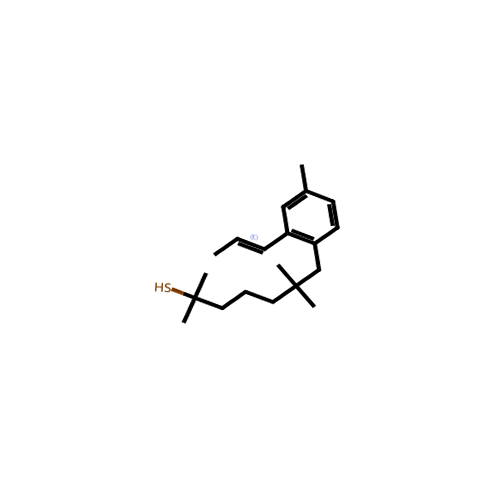 C/C=C/c1cc(C)ccc1CC(C)(C)CCCC(C)(C)S